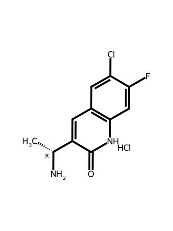 C[C@@H](N)c1cc2cc(Cl)c(F)cc2[nH]c1=O.Cl